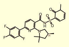 CC1C=CC=C(S(=O)(=O)NC(=O)c2ccc(-c3cc(F)c(F)cc3F)nc2N2C[C@@H](C)CC2(C)C)C1=O